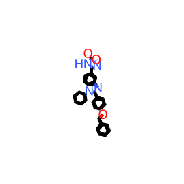 O=c1[nH]c(-c2ccc3c(c2)nc(-c2ccc(OCc4ccccc4)cc2)n3C2CCCCC2)no1